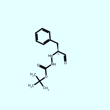 CC(C)(C)OC(=O)NN[C@H](C=O)Cc1ccccc1